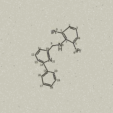 CC(C)c1cccc(C(C)C)c1NCc1cccc(-c2ccccc2)n1